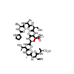 CC[C@H](C)[C@H](NC(=O)[C@@H]1CCCN1)C(=O)N[C@H](C(=O)N[C@@H](CO)C(=O)N[C@H](C(=O)N[C@@H](CCC(N)=O)C(=O)N[C@H](C(=O)N[C@@H](C)C(=O)N[C@@H](CC(C)C)C(=O)N[C@@H](C)C(=O)O)[C@@H](C)O)[C@@H](C)O)C(C)C